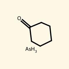 O=C1CCCCC1.[AsH3]